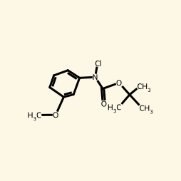 COc1cccc(N(Cl)C(=O)OC(C)(C)C)c1